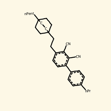 CCCCCC12CCC(CCc3ccc(-c4ccc(CCC)cc4)c(C#N)c3C#N)(CC1)CC2